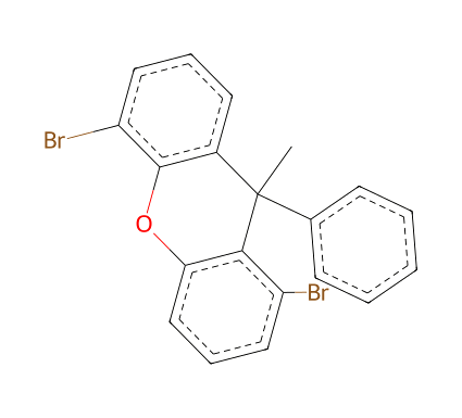 CC1(c2ccccc2)c2cccc(Br)c2Oc2cccc(Br)c21